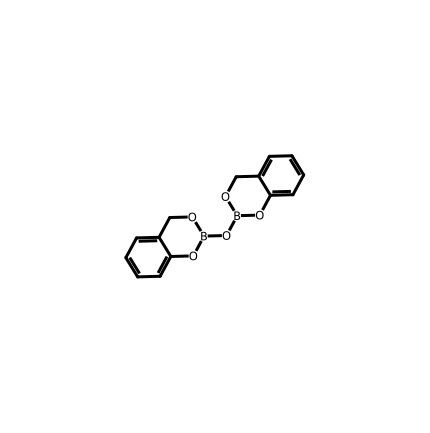 c1ccc2c(c1)COB(OB1OCc3ccccc3O1)O2